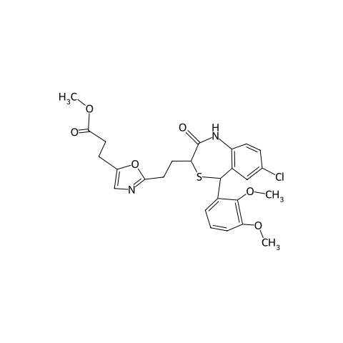 COC(=O)CCc1cnc(CCC2SC(c3cccc(OC)c3OC)c3cc(Cl)ccc3NC2=O)o1